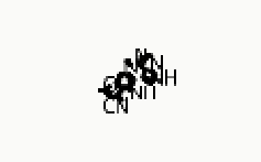 CC(O)=C(C#N)C(C)C1C=CC(N(C)c2ncnc3[nH]ccc23)=CC1=N